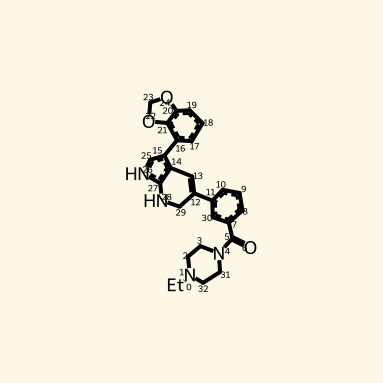 CCN1CCN(C(=O)c2cccc(C3=Cc4c(-c5cccc6c5OCO6)c[nH]c4NC3)c2)CC1